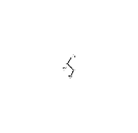 OCCO.[As]